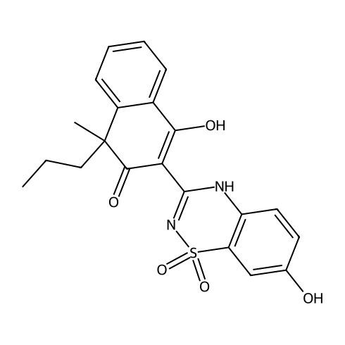 CCCC1(C)C(=O)C(C2=NS(=O)(=O)c3cc(O)ccc3N2)=C(O)c2ccccc21